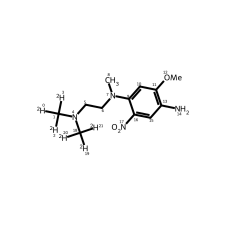 [2H]C([2H])([2H])N(CCN(C)c1cc(OC)c(N)cc1[N+](=O)[O-])C([2H])([2H])[2H]